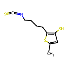 Cc1cc(S)c(CCCCN=C=S)s1